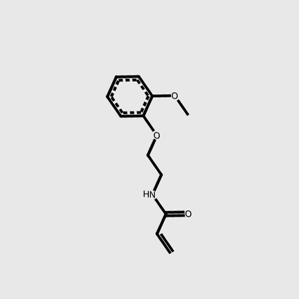 C=CC(=O)NCCOc1ccccc1OC